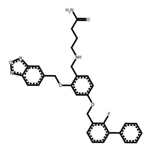 NC(=O)CCCNCc1ccc(OCc2cccc(-c3ccccc3)c2F)cc1OCc1ccc2nonc2c1